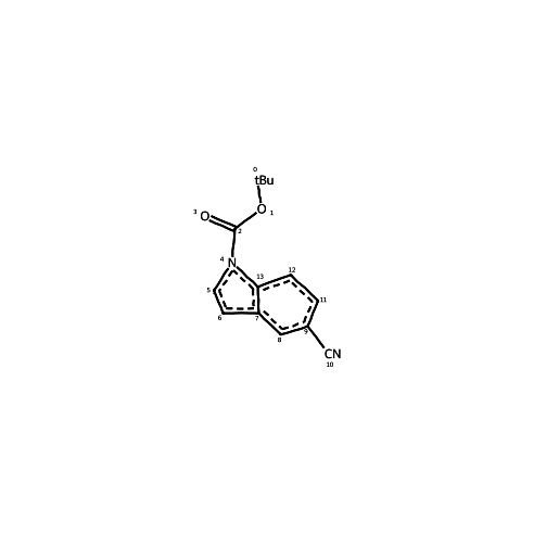 CC(C)(C)OC(=O)n1[c]cc2cc(C#N)ccc21